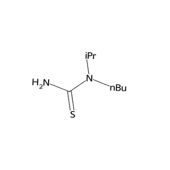 CCCCN(C(N)=S)C(C)C